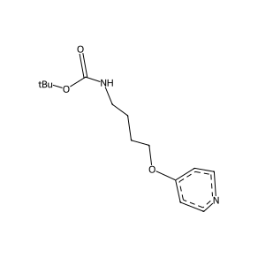 CC(C)(C)OC(=O)NCCCCOc1ccncc1